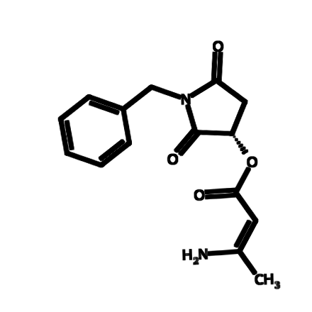 C/C(N)=C/C(=O)O[C@H]1CC(=O)N(Cc2ccccc2)C1=O